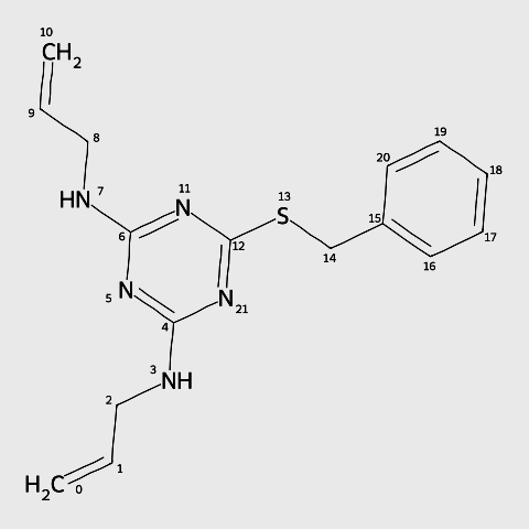 C=CCNc1nc(NCC=C)nc(SCc2ccccc2)n1